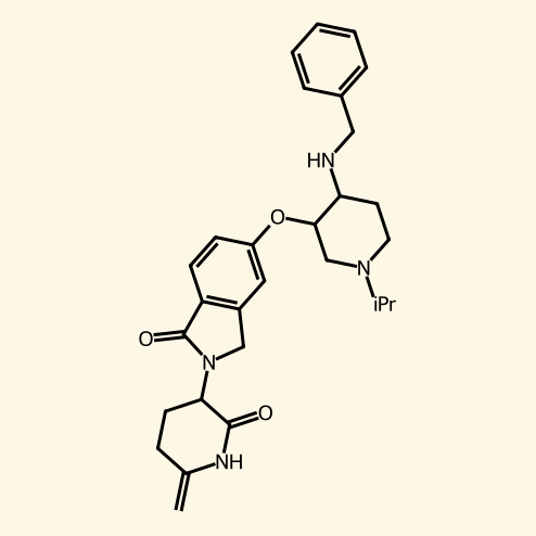 C=C1CCC(N2Cc3cc(OC4CN(C(C)C)CCC4NCc4ccccc4)ccc3C2=O)C(=O)N1